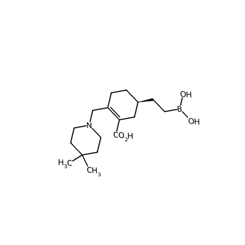 CC1(C)CCN(CC2=C(C(=O)O)C[C@H](CCB(O)O)CC2)CC1